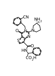 N#Cc1ccccc1Cn1c(N2CCC[C@@H](N)C2)nc2c(C(=O)NC(C(=O)O)c3ccccc3)csc2c1=O